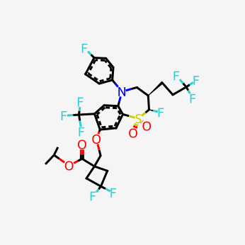 CC(C)OC(=O)C1(COc2cc3c(cc2C(F)(F)F)N(c2ccc(F)cc2)C[C@@H](CCC(F)(F)F)[C@@H](F)S3(=O)=O)CC(F)(F)C1